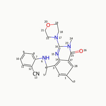 Cc1cc(C(C)Nc2ccccc2C#N)c2nc(N3CCOCC3)n(C)c(=O)c2c1